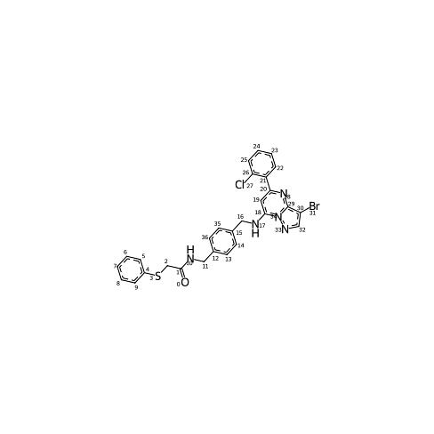 O=C(CSc1ccccc1)NCc1ccc(CNc2cc(-c3ccccc3Cl)nc3c(Br)cnn23)cc1